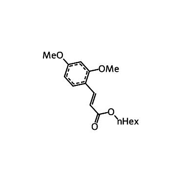 CCCCCCOC(=O)C=Cc1ccc(OC)cc1OC